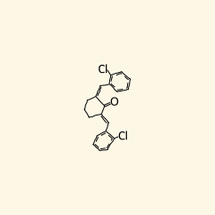 O=C1C(=Cc2ccccc2Cl)CCCC1=Cc1ccccc1Cl